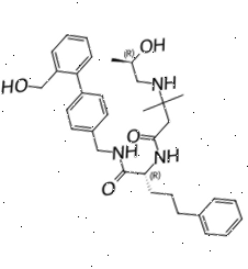 C[C@@H](O)CNC(C)(C)CC(=O)N[C@H](CCCc1ccccc1)C(=O)NCc1ccc(-c2ccccc2CO)cc1